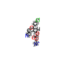 CC(C)(Oc1ccc(C(=O)c2ccc(Cl)cc2)cc1)C(=O)OCC[N+](C)(C)C.O=C(O)c1cccnc1